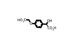 O=C(O)COc1ccc([C@@H](O)C(=O)O)cc1